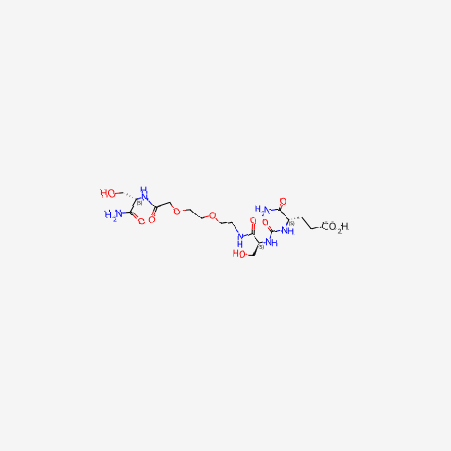 NC(=O)[C@H](CO)NC(=O)COCCOCCNC(=O)[C@H](CO)NC(=O)N[C@@H](CCC(=O)O)C(N)=O